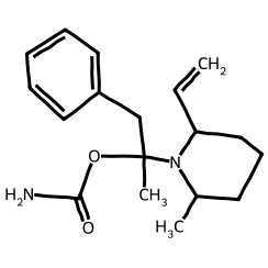 C=CC1CCCC(C)N1C(C)(Cc1ccccc1)OC(N)=O